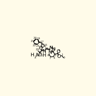 CCOC(=O)C1CCCn2c1nnc2[C@@H](COCc1ccccc1)NC(=O)C(C)(C)N